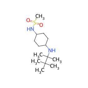 CC(C)(C)C(C)(C)NC1CCC(NS(C)(=O)=O)CC1